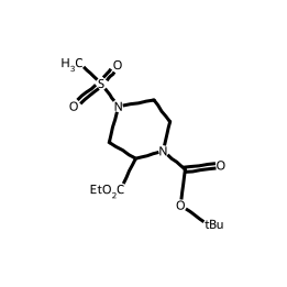 CCOC(=O)C1CN(S(C)(=O)=O)CCN1C(=O)OC(C)(C)C